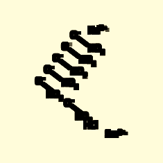 Cl.O=[N+]([O-])[O-].O=[N+]([O-])[O-].O=[N+]([O-])[O-].O=[N+]([O-])[O-].O=[N+]([O-])[O-].O=[N+]([O-])[O-].[Nd+3].[Sm+3]